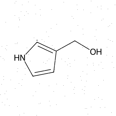 OCc1[c][nH]cc1